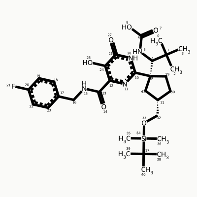 CC(C)(C)C(NC(=O)O)[C@]1(c2nc(C(=O)NCc3ccc(F)cc3)c(O)c(=O)[nH]2)CC[C@H](CO[Si](C)(C)C(C)(C)C)C1